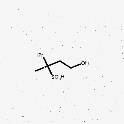 CC(C)C(C)(CCO)S(=O)(=O)O